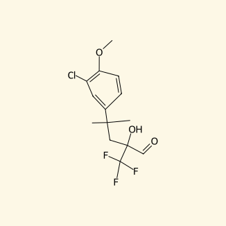 COc1ccc(C(C)(C)CC(O)(C=O)C(F)(F)F)cc1Cl